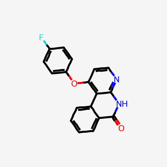 O=c1[nH]c2nccc(Oc3ccc(F)cc3)c2c2ccccc12